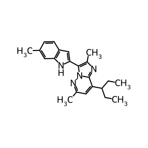 CCC(CC)c1cc(C)nn2c(-c3cc4ccc(C)cc4[nH]3)c(C)nc12